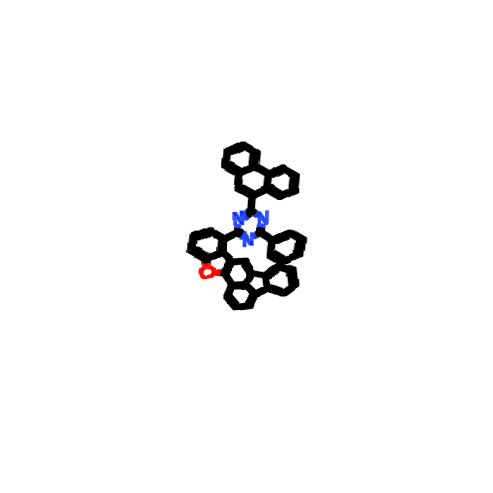 c1ccc(-c2nc(-c3cc4ccccc4c4ccccc34)nc(-c3cccc4oc5c6cccc7c6c(cc5c34)-c3ccccc3-7)n2)cc1